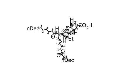 CCCCCCCCCCCCCCCC(=O)N[C@@H](CSCCCOC(=O)CCCCCCCCCCC)C(=O)N[C@@H](CC)C(=O)N[C@H](CCC(=O)O)C(N)=O